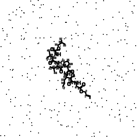 C=CCOC(=O)CNC(=O)C(=O)C(CCC)NC(=O)[C@@H]1CCCN1C(=O)[C@@H](NC(=O)[C@@H](NC(=O)OCC(C)C)C(C)C)C(C)C